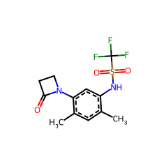 Cc1cc(C)c(N2CCC2=O)cc1NS(=O)(=O)C(F)(F)F